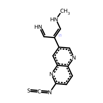 CN/C=C(\C=N)c1cnc2ccc(N=C=S)nc2c1